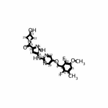 COc1cc(C)c(F)c(COc2cnc(Nc3cc(C(=O)N4CC(O)C4)n[nH]3)nc2)c1F